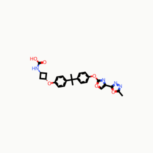 Cc1nnc(-c2coc(Oc3ccc(C(C)(C)c4ccc(O[C@H]5C[C@H](NC(=O)O)C5)cc4)cc3)n2)o1